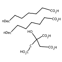 CCCCCCCCCCCCCCCC(=O)O.CCCCCCCCCCCCCCCC(=O)O.O=C(O)CC(O)(CC(=O)O)C(=O)O